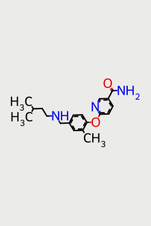 Cc1cc(CNCCC(C)C)ccc1Oc1ccc(C(N)=O)cn1